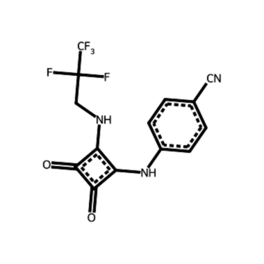 N#Cc1ccc(Nc2c(NCC(F)(F)C(F)(F)F)c(=O)c2=O)cc1